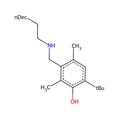 CCCCCCCCCCCCNCc1c(C)cc(C(C)(C)C)c(O)c1C